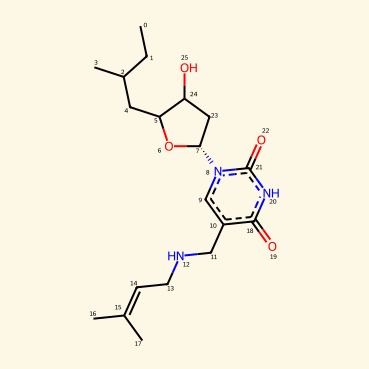 CCC(C)CC1O[C@@H](n2cc(CNCC=C(C)C)c(=O)[nH]c2=O)CC1O